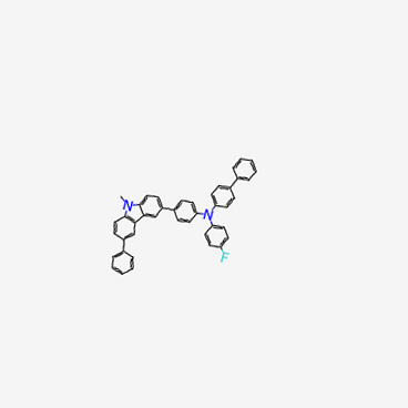 Cn1c2ccc(-c3ccccc3)cc2c2cc(-c3ccc(N(c4ccc(F)cc4)c4ccc(-c5ccccc5)cc4)cc3)ccc21